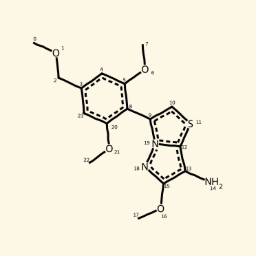 COCc1cc(OC)c(-c2csc3c(N)c(OC)nn23)c(OC)c1